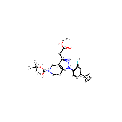 COC(=O)Cc1nn(-c2ccc(C34CC(C3)C4)cc2F)c2c1CN(C(=O)OC(C)(C)C)CC2